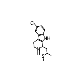 CSC(C)CC1NCCc2c1[nH]c1ccc(Cl)cc21